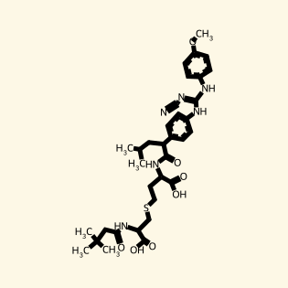 COc1ccc(NC(=NC#N)Nc2ccc(C(CC(C)C)C(=O)NC(CCSCC(NC(=O)CC(C)(C)C)C(=O)O)C(=O)O)cc2)cc1